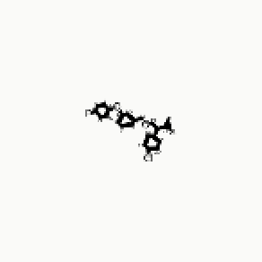 Fc1ccc(Oc2cccc(COCC(c3ccc(Cl)cc3)C3CC3)c2)cc1